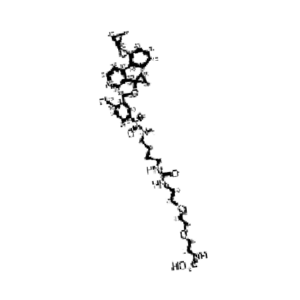 CN(CCCCNC(=O)NCCOCCOCCNC(=O)O)S(=O)(=O)c1ccc(Cl)c(COC2(c3cnccc3-c3ccccc3OC3CC3)CC2)c1